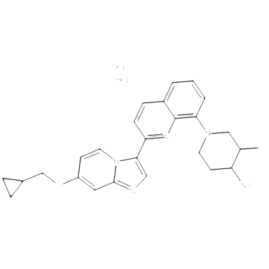 Cl.Cl.NC1CCN(c2cccc3ccc(-c4cnc5cc(OCC6CC6)ccn45)nc23)CC1F